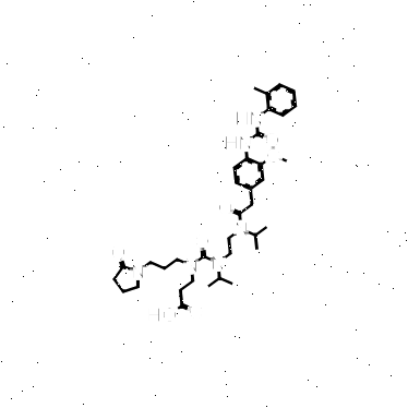 COc1cc(CC(=O)N(CCN(C(=O)N(CCCN2CCCC2=O)CCC(=O)O)C(C)C)C(C)C)ccc1NC(=O)Nc1ccccc1C